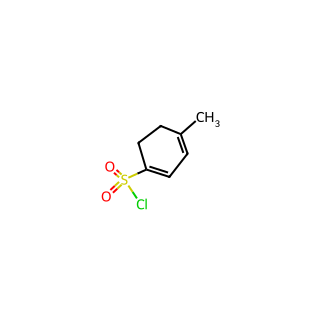 CC1=CC=C(S(=O)(=O)Cl)CC1